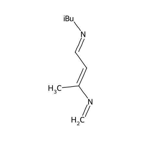 C=N/C(C)=C/C=N/C(C)CC